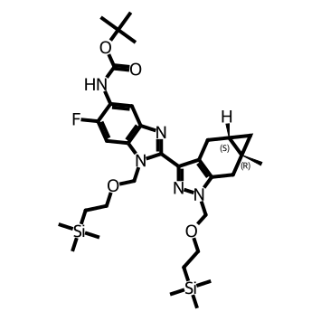 CC(C)(C)OC(=O)Nc1cc2nc(-c3nn(COCC[Si](C)(C)C)c4c3C[C@@H]3C[C@]3(C)C4)n(COCC[Si](C)(C)C)c2cc1F